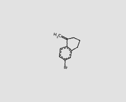 C=C1CCCc2cc(Br)ccc21